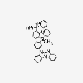 CCCC1(CCC)c2ccccc2Oc2c1cccc2[Si](C)(c1ccccc1)c1cccc(-n2c3ccccc3n3c4ccccc4nc23)c1